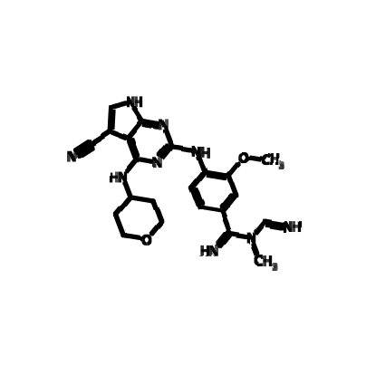 COc1cc(C(=N)N(C)C=N)ccc1Nc1nc(NC2CCOCC2)c2c(C#N)c[nH]c2n1